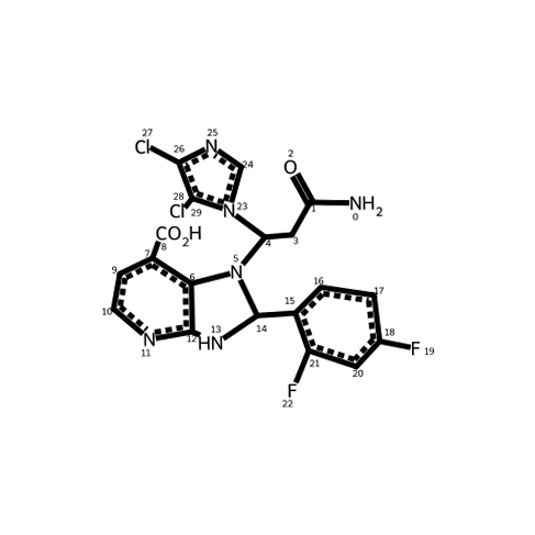 NC(=O)CC(N1c2c(C(=O)O)ccnc2NC1c1ccc(F)cc1F)n1cnc(Cl)c1Cl